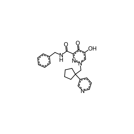 O=C(NCc1ccccc1)c1nn(CC2(c3cccnc3)CCCC2)cc(O)c1=O